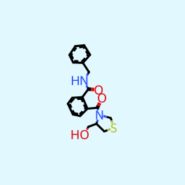 O=C(NCc1ccccc1)c1ccccc1C(=O)N1CSCC1CO